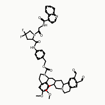 CCC1CN2CCc3cc(C=O)c(C=O)cc3C2CC1CC1c2cc(OC)c(OC)cc2CCN1C(=O)OCc1ccc(NC(=O)C2CC(F)(F)CN2C(=O)CNC(=O)c2ccnc3ccccc23)cc1